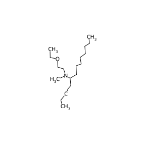 CCCCCCCCC(CCCCC)N(C)CCOCC